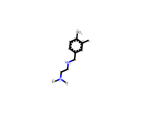 CCN(CC)CCNCc1ccc([N+](=O)[O-])c(C)c1